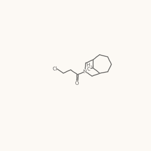 CC1C2CCCCC1CN(C(=O)CCCl)C2